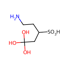 NCCC(CC(O)(O)O)S(=O)(=O)O